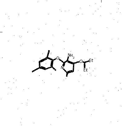 CCC(CC)Oc1cc(C)nc(Oc2c(C)cc(C)cc2C)c1N